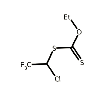 CCOC(=S)SC(Cl)C(F)(F)F